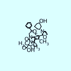 Cc1c(-c2ncco2)sc2c1c(=O)n(C(C)(C)C(=O)O)c(=O)n2C[C@H](O[C@H]1CC[C@@H](O)CC1)c1ccccc1